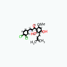 COc1cc(O)c(CC=C(C)C)c(O)c1C(=O)/C=C/c1ccc(Cl)c(Cl)c1